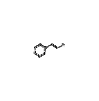 CC/C=C/[n+]1ccccc1